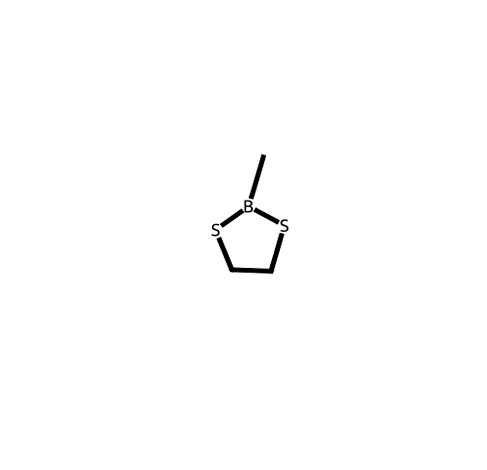 CB1SCCS1